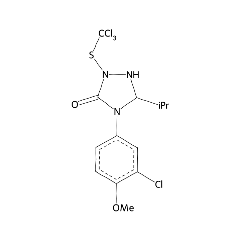 COc1ccc(N2C(=O)N(SC(Cl)(Cl)Cl)NC2C(C)C)cc1Cl